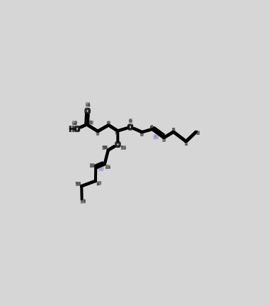 CCC/C=C/COC(CCC(=O)O)OC/C=C/CCC